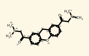 CN(C)CC(=O)c1ccc2c(c1)Cc1cc(C(=O)CN(C)C)ccc1O2